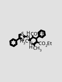 CCOC(=O)C1=C(C)NC(C)(Nc2nc(-c3ccccc3)cs2)C(C(=O)OCC)C1c1ccccc1